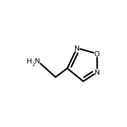 NCc1cnon1